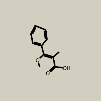 CO/C(=C(/C)C(=O)O)c1ccccc1